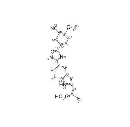 CCC(=Cc1cc2cc(-c3noc(-c4ccc(OC(C)C)c(C#N)c4)n3)ccc2[nH]1)C(=O)O